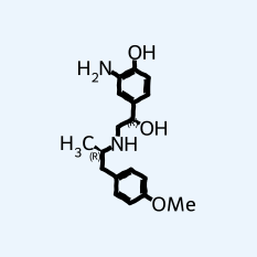 COc1ccc(C[C@@H](C)NC[C@H](O)c2ccc(O)c(N)c2)cc1